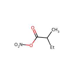 CCC(C)C(=O)O[N+](=O)[O-]